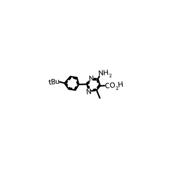 Cc1nc(-c2ccc(C(C)(C)C)cc2)nc(N)c1C(=O)O